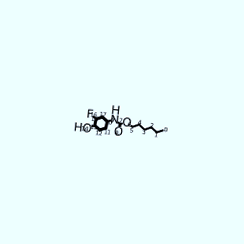 CCCCCCOC(=O)Nc1ccc(O)c(F)c1